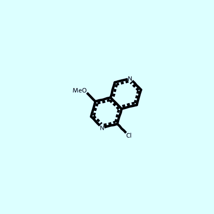 COc1cnc(Cl)c2ccncc12